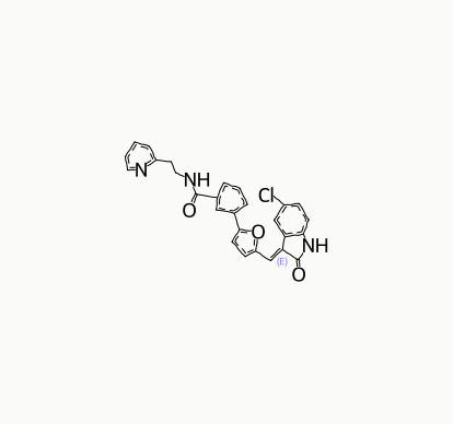 O=C1Nc2ccc(Cl)cc2/C1=C\c1ccc(-c2cccc(C(=O)NCCc3ccccn3)c2)o1